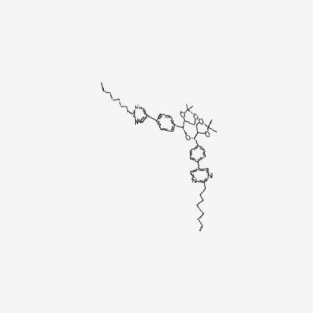 CCCCCCCCc1ncc(-c2ccc([C@H](O[C@@H](c3ccc(-c4cnc(CCCCCCCC)nc4)cc3)C3COC(C)(C)O3)C3COC(C)(C)O3)cc2)cn1